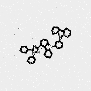 c1ccc(-c2nc(-c3cccc4c3c3ccccc3n4-c3cccc(-n4c5ccccc5c5ccccc54)c3)nn2-c2ccccc2)cc1